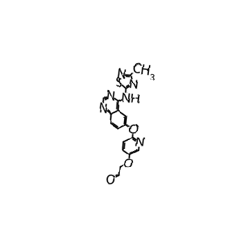 Cc1nsc(Nc2ncnc3ccc(Oc4ccc(OCC=O)cn4)cc23)n1